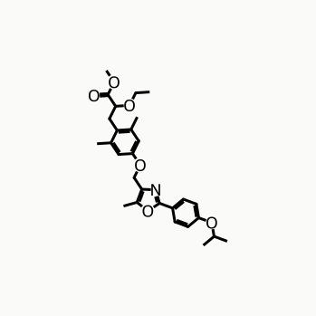 CCOC(Cc1c(C)cc(OCc2nc(-c3ccc(OC(C)C)cc3)oc2C)cc1C)C(=O)OC